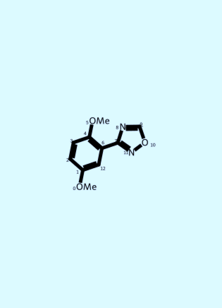 COc1ccc(OC)c(-c2n[c]on2)c1